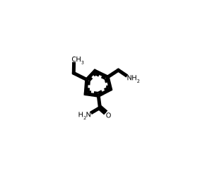 CCc1[c]c(CN)cc(C(N)=O)c1